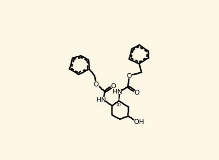 O=C(NC1CCC(O)C[C@@H]1NC(=O)OCc1ccccc1)OCc1ccccc1